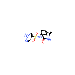 C=C1NC(=O)C2(NS(=O)(=O)c3cn[nH]c3)CC1C2